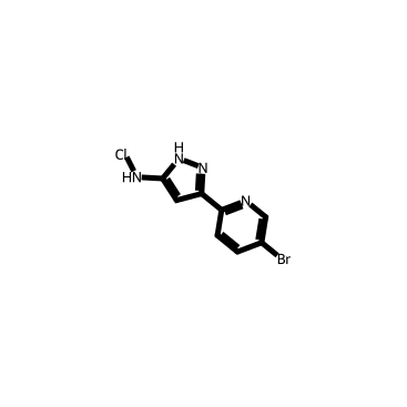 ClNc1cc(-c2ccc(Br)cn2)n[nH]1